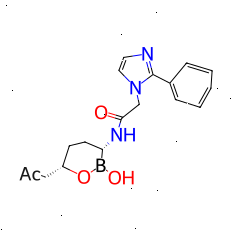 CC(=O)C[C@@H]1CC[C@H](NC(=O)Cn2ccnc2-c2ccccc2)B(O)O1